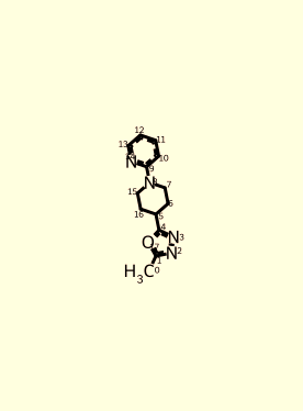 Cc1nnc(C2CCN(c3ccccn3)CC2)o1